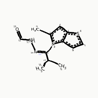 Cc1cc2sccc2n1/C(=N\NC=O)C(C)C